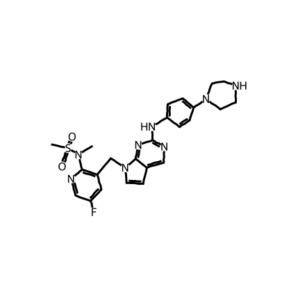 CN(c1ncc(F)cc1Cn1ccc2cnc(Nc3ccc(N4CCNCC4)cc3)nc21)S(C)(=O)=O